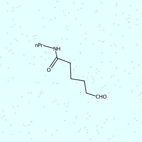 CCCNC(=O)CCCCC=O